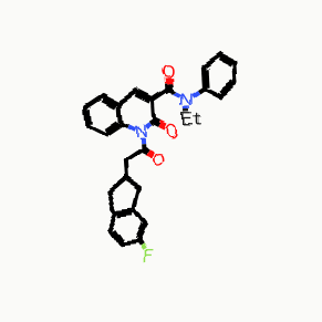 CCN(C(=O)c1cc2ccccc2n(C(=O)CC2Cc3ccc(F)cc3C2)c1=O)c1ccccc1